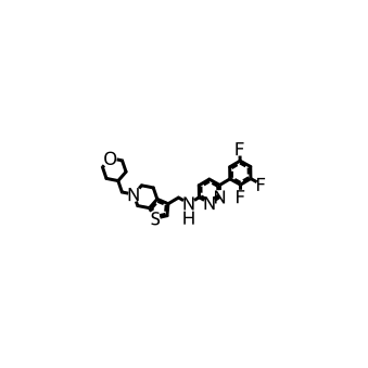 Fc1cc(F)c(F)c(-c2ccc(NCc3csc4c3CCN(CC3CCOCC3)C4)nn2)c1